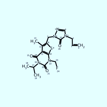 C=CCn1cnn(Cc2sc3c(c2C)c(=O)n(C(C)C)c(=O)n3CF)c1=O